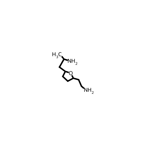 CC(N)CC1CCC(CCN)O1